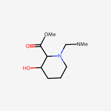 CNCN1CCCC(O)C1C(=O)OC